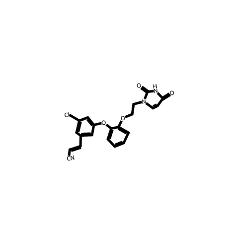 N#CC=Cc1cc(Cl)cc(Oc2ccccc2OCCn2ccc(=O)[nH]c2=O)c1